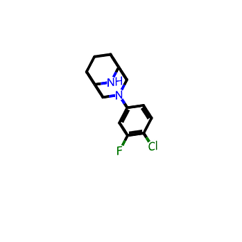 Fc1cc(N2CC3CCCC(C2)N3)ccc1Cl